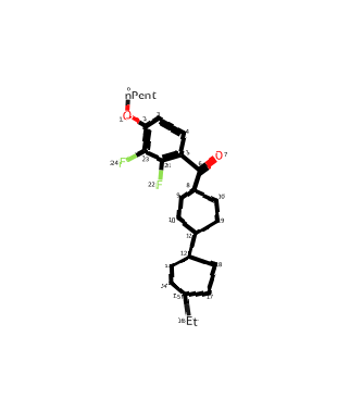 CCCCCOc1ccc(C(=O)C2CCC(C3CCC(CC)CC3)CC2)c(F)c1F